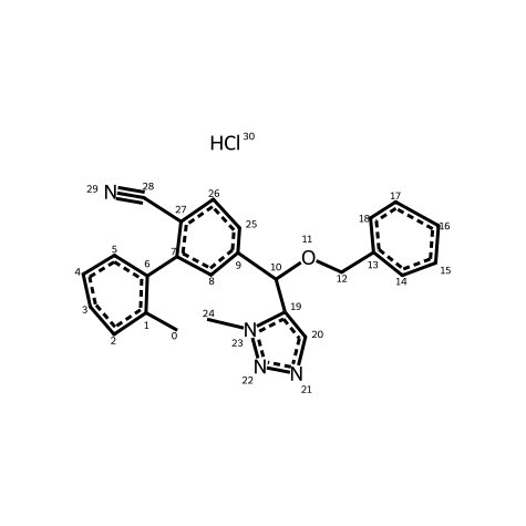 Cc1ccccc1-c1cc(C(OCc2ccccc2)c2cnnn2C)ccc1C#N.Cl